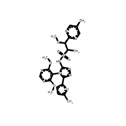 COc1ncnc(OC)c1-n1c(NS(=O)(=O)C(C)C(OC)c2ncc(C)cn2)nnc1-c1ccc(C)o1